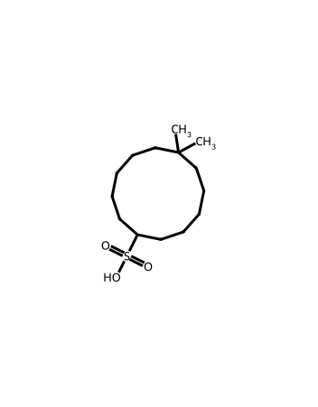 CC1(C)CCCCCC(S(=O)(=O)O)CCCCC1